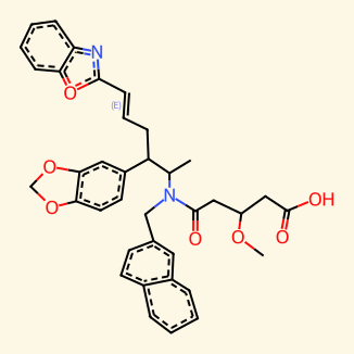 COC(CC(=O)O)CC(=O)N(Cc1ccc2ccccc2c1)C(C)C(C/C=C/c1nc2ccccc2o1)c1ccc2c(c1)OCO2